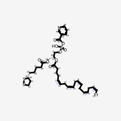 CC/C=C\C/C=C\C/C=C\C/C=C\C/C=C\CCCC(=O)O[C@H](COC(=O)CCCC[C@@H]1CCSS1)COP(=O)(O)OC(=O)c1cccnc1